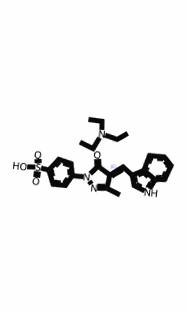 CC1=NN(c2ccc(S(=O)(=O)O)cc2)C(=O)/C1=C/c1c[nH]c2ccccc12.CCN(CC)CC